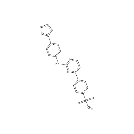 CS(=O)(=O)c1ccc(-c2ccnc(Nc3ccc(-n4cncn4)cc3)n2)cc1